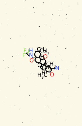 C[C@@H]1C(=O)C(C#N)=C[C@]2(C)C3=CC(=O)C4[C@H]5CC(C)(C)CC[C@]5(C(=O)NCC(F)(F)F)CC[C@@]4(C)[C@]3(C)CC[C@@H]12